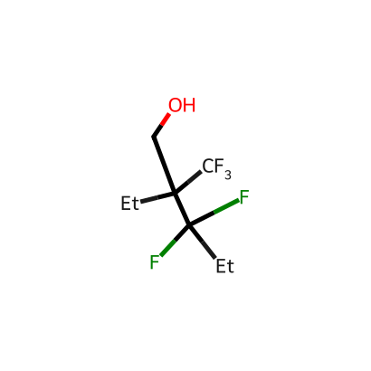 CCC(F)(F)C(CC)(CO)C(F)(F)F